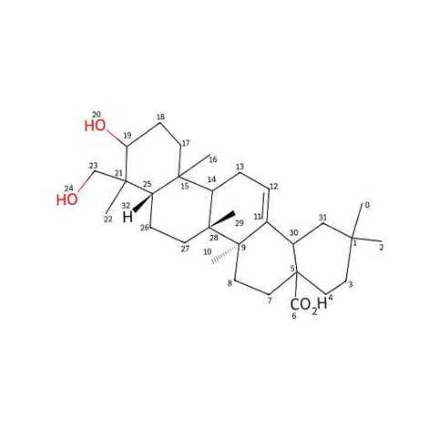 CC1(C)CCC2(C(=O)O)CC[C@]3(C)C(=CCC4C5(C)CCC(O)C(C)(CO)[C@H]5CC[C@]43C)C2C1